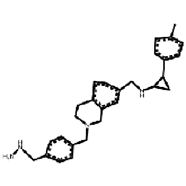 Cc1ccc(C2CC2NCc2ccc3c(c2)CN(Cc2ccc(CNN)cc2)CC3)cc1